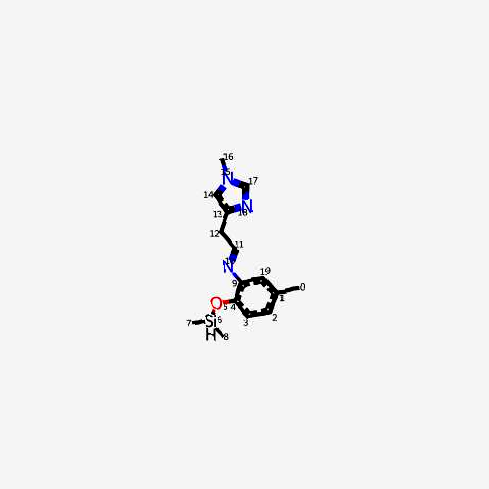 Cc1ccc(O[SiH](C)C)c(N=CCc2cn(C)cn2)c1